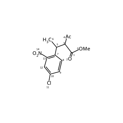 COC(=O)C(C(C)=O)C(C)c1ccc(Cl)cc1[N+](=O)[O-]